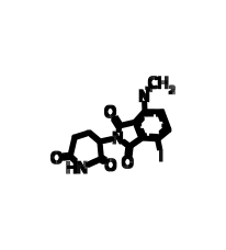 C=Nc1ccc(I)c2c1C(=O)N(C1CCC(=O)NC1=O)C2=O